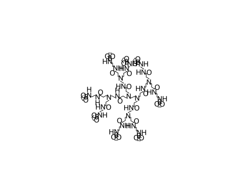 O=C(CCN(CCNC(=O)CCN(CCC(=O)NCCN(CCC(=O)NCCNB1OCCO1)CCC(=O)NCCNB1OCCO1)CCN(CCC(=O)NCCN(CCC(=O)NCCNB1OCCO1)CCC(=O)NCCNB1OCCO1)CCC(=O)NCCN(CCC(=O)NCCNB1OCCO1)CCC(=O)NCNB1OCCO1)CCC(=O)NCCNB1OCCO1)NCCNB1OCCO1